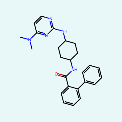 CN(C)c1ccnc(NC2CCC(NC(=O)c3ccccc3-c3ccccc3)CC2)n1